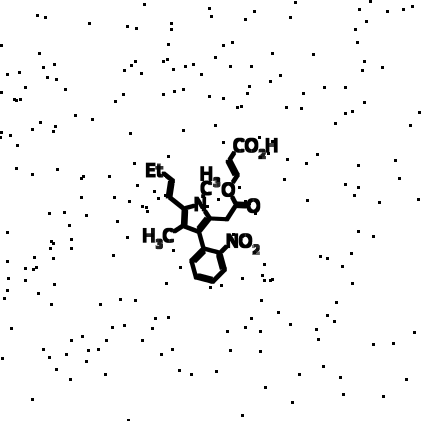 CCC=Cc1c(C)c(-c2ccccc2[N+](=O)[O-])c(CC(=O)OC=CC(=O)O)n1C